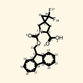 O=C(O)C1CC2(CN1C(=O)OCC1c3ccccc3-c3ccccc31)CC2(F)F